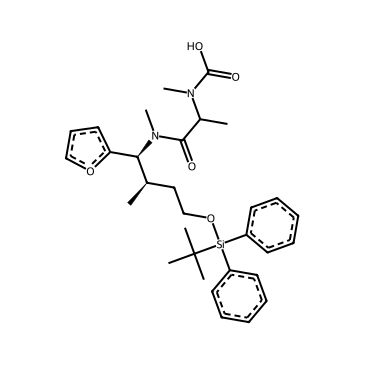 CC(C(=O)N(C)[C@H](c1ccco1)[C@H](C)CCO[Si](c1ccccc1)(c1ccccc1)C(C)(C)C)N(C)C(=O)O